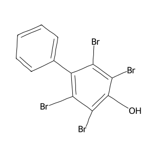 Oc1c(Br)c(Br)c(-c2ccccc2)c(Br)c1Br